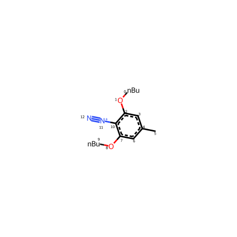 CCCCOc1cc(C)cc(OCCCC)c1[N+]#N